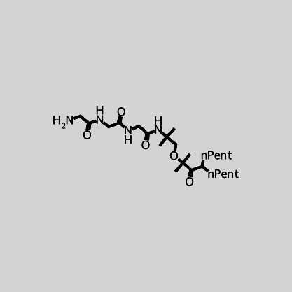 CCCCCC(CCCCC)C(=O)C(C)(C)OCC(C)(C)NC(=O)CNC(=O)CNC(=O)CN